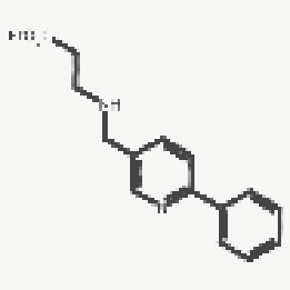 CCOC(=O)CCNCc1ccc(-c2ccccc2)nc1